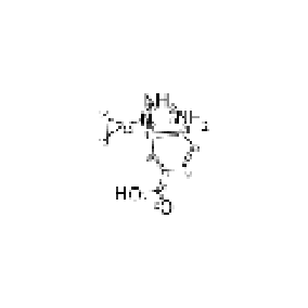 Nc1ccc(C(=O)O)cc1N(N)C1CC1